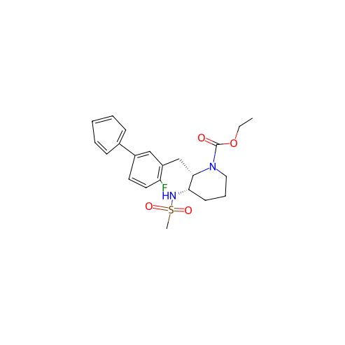 CCOC(=O)N1CCC[C@H](NS(C)(=O)=O)[C@@H]1Cc1cc(-c2ccccc2)ccc1F